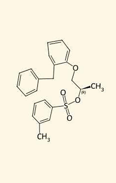 Cc1cccc(S(=O)(=O)O[C@H](C)COc2ccccc2Cc2ccccc2)c1